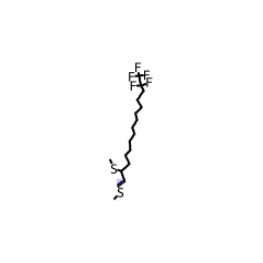 CS/C=C/C(CCCCCCCCCCCC(F)(F)C(F)(F)F)SC